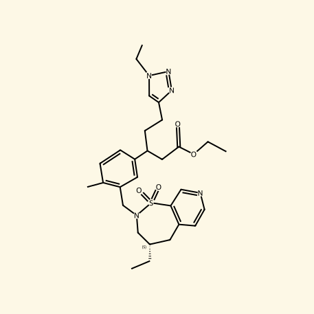 CCOC(=O)CC(CCc1cn(CC)nn1)c1ccc(C)c(CN2C[C@@H](CC)Cc3ccncc3S2(=O)=O)c1